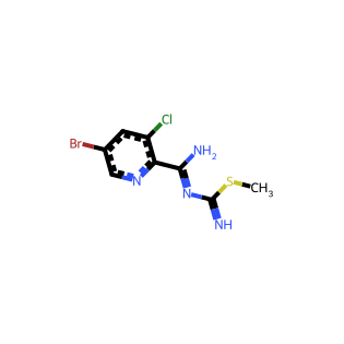 CSC(=N)/N=C(\N)c1ncc(Br)cc1Cl